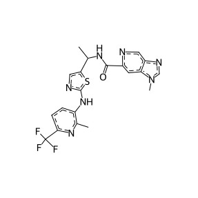 Cc1nc(C(F)(F)F)ccc1Nc1ncc(C(C)NC(=O)c2cc3c(cn2)ncn3C)s1